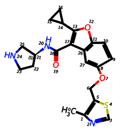 Cc1ncsc1COc1ccc2oc(C3CC3)c(C(=O)N[C@H]3CCNC3)c2c1